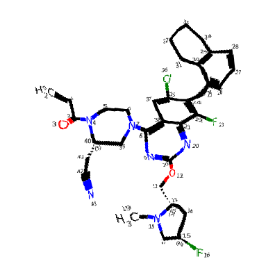 C=CC(=O)N1CCN(c2nc(OC[C@@H]3C[C@@H](F)CN3C)nc3c(F)c(-c4cccc5c4CCCC5)c(Cl)cc23)C[C@@H]1CC#N